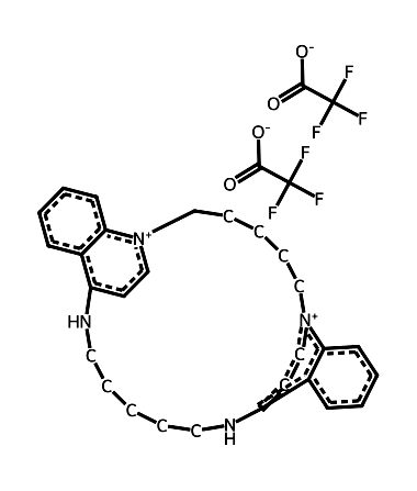 O=C([O-])C(F)(F)F.O=C([O-])C(F)(F)F.c1ccc2c(c1)c1cc[n+]2CCCCC[n+]2ccc(c3ccccc32)NCCCCCN1